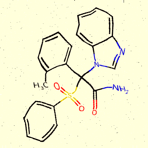 Cc1ccccc1C(C(N)=O)(n1cnc2ccccc21)S(=O)(=O)c1ccccc1